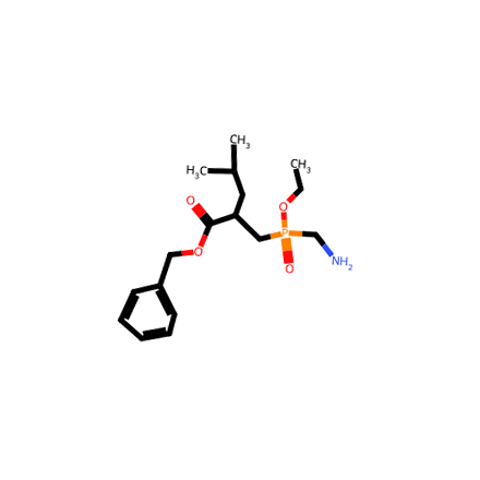 CCOP(=O)(CN)CC(CC(C)C)C(=O)OCc1ccccc1